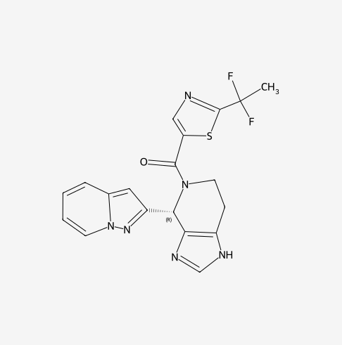 CC(F)(F)c1ncc(C(=O)N2CCc3[nH]cnc3[C@@H]2c2cc3ccccn3n2)s1